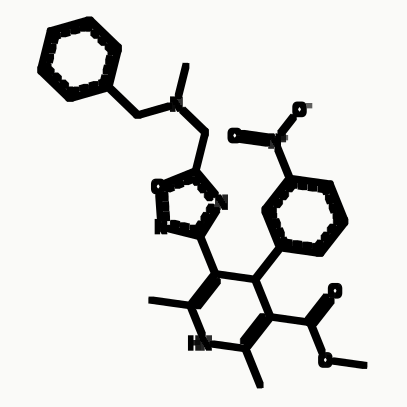 COC(=O)C1=C(C)NC(C)=C(c2noc(CN(C)Cc3ccccc3)n2)C1c1cccc([N+](=O)[O-])c1